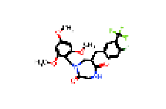 COc1cc(OC)c(CN2CC(Cc3ccc(Cl)c(C(F)(F)F)c3)C(=O)NCC2=O)c(OC)c1